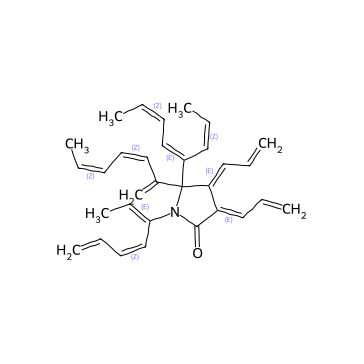 C=C/C=C\C(=C/C)N1C(=O)C(=C/C=C)/C(=C\C=C)C1(C(=C)/C=C\C=C/C)C(/C=C\C)=C/C=C\C